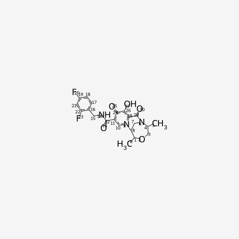 CC1OCC(C)N2CC1n1cc(C(=O)NCc3ccc(F)cc3F)c(=O)c(O)c1C2=O